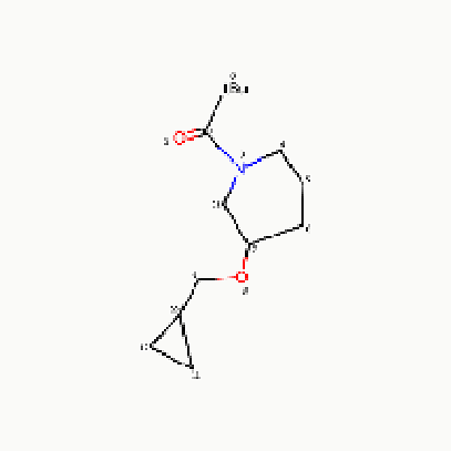 CC(C)(C)C(=O)N1CCCC(OCC2CC2)C1